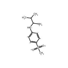 CC(C)C(N)Nc1ccc(S(C)(=O)=O)cc1